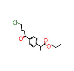 CCCOC(=O)C(C)c1ccc(C(=O)CCCCl)cc1